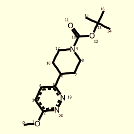 COc1ccc(C2CCN(C(=O)OC(C)(C)C)CC2)nn1